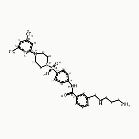 NCCCNCc1cccc(C(=O)Nc2ccc(S(=O)(=O)N3CCN(c4cc(C(F)(F)F)cc(Cl)n4)CC3)cc2)c1